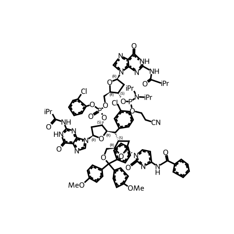 COc1ccc(C(OC[C@@H]2O[C@@H](n3ccc(NC(=O)c4ccccc4)nc3=O)C[C@H]2C(c2cc[c]c(Cl)c2)[C@H]2O[C@@H](n3cnc4c(=O)[nH]c(NC(=O)C(C)C)nc43)C[C@@H]2OP(=O)(OC[C@H]2O[C@@H](n3cnc4c(=O)[nH]c(NC(=O)C(C)C)nc43)C[C@@H]2OP(OCCC#N)N(C(C)C)C(C)C)Oc2ccccc2Cl)(c2ccccc2)c2ccc(OC)cc2)cc1